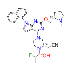 C=C(F)C(O)N1CCN(c2nc(OC[C@@H]3CCCN3C)nc3c2cc(C)n3-c2cccc3ccccc23)C[C@@H]1CC#N